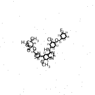 COc1cc2ncnc(Nc3ccc(OCc4cccc(F)c4)c(Cl)c3)c2cc1-c1csc(COC(CC(C)C)=S(=O)=O)n1